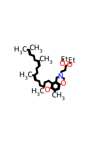 CCOC(CCN1COc2cc(C)c3c(c2C1)CC[C@@](C)(CCC=C(C)CCC=C(C)CCC=C(C)C)O3)OCC